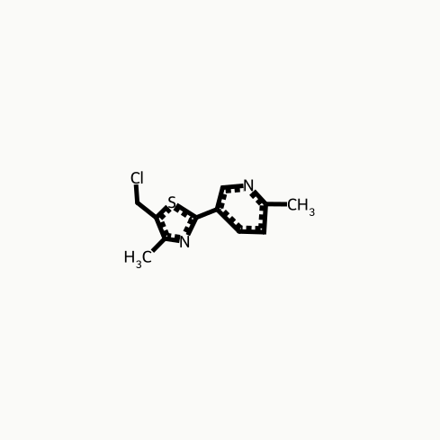 Cc1ccc(-c2nc(C)c(CCl)s2)cn1